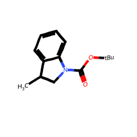 CC1CN(C(=O)OC(C)(C)C)c2ccccc21